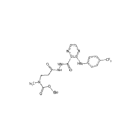 CN(CCC(=O)NNC(=O)c1nccnc1Nc1ccc(C(F)(F)F)cc1)C(=O)OC(C)(C)C